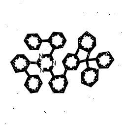 c1ccc(-c2ccccc2-c2nc(-c3ccccc3-c3ccccc3)nc(-c3ccccc3-c3ccc4c(c3)C(c3ccccc3)(c3ccccc3)c3ccccc3-4)n2)cc1